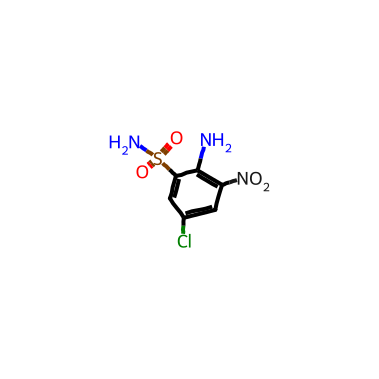 Nc1c([N+](=O)[O-])cc(Cl)cc1S(N)(=O)=O